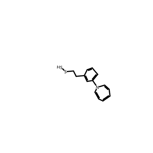 SSCCc1cccc(N2C=CC=CC=C2)c1